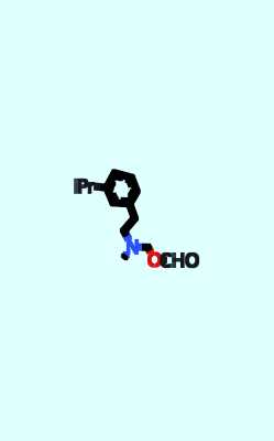 CC(C)c1cccc(CCN(C)COC=O)c1